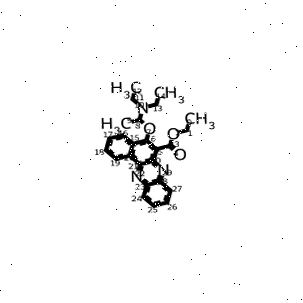 CCOC(=O)c1c(OC(C)N(CC)CC)c2ccccc2c2nc3ccccc3nc12